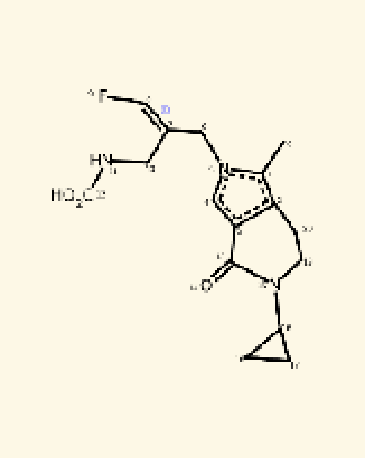 Cc1c2c(cn1C/C(=C/F)CNC(=O)O)C(=O)N(C1CC1)CC2